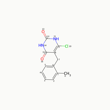 Cc1ccccc1Cc1c(Cl)[nH]c(=O)[nH]c1=O